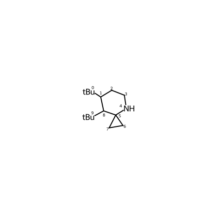 CC(C)(C)C1CCNC2(CC2)C1C(C)(C)C